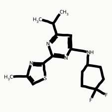 Cc1csc(-c2nc(NC3CCC(F)(F)CC3)cc(C(C)C)n2)n1